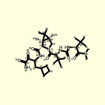 CN(C)C(=O)[C@@H](NC(=O)N[C@H](C(=O)N1C[C@H]2[C@@H]([C@H]1C(=O)NC(CC1CCC1)C(=O)C(N)=O)C2(C)C)C(C)(C)C)C(C)(C)C